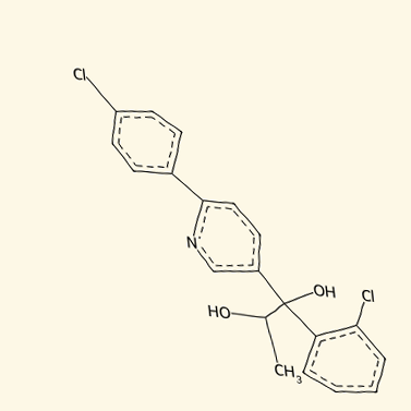 CC(O)C(O)(c1ccc(-c2ccc(Cl)cc2)nc1)c1ccccc1Cl